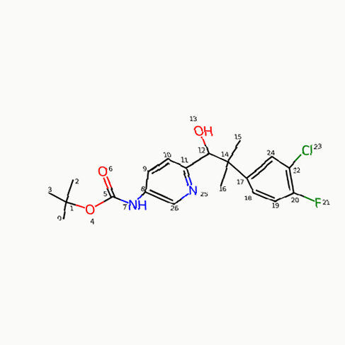 CC(C)(C)OC(=O)Nc1ccc(C(O)C(C)(C)c2ccc(F)c(Cl)c2)nc1